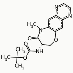 CN1C(=O)[C@@H](NC(=O)OC(C)(C)C)COc2cc3nccnc3cc21